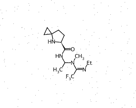 CC/N=C(\N(C)C(C)NC(=O)[C@@H]1CCC2(CC2)N1)C(F)(F)F